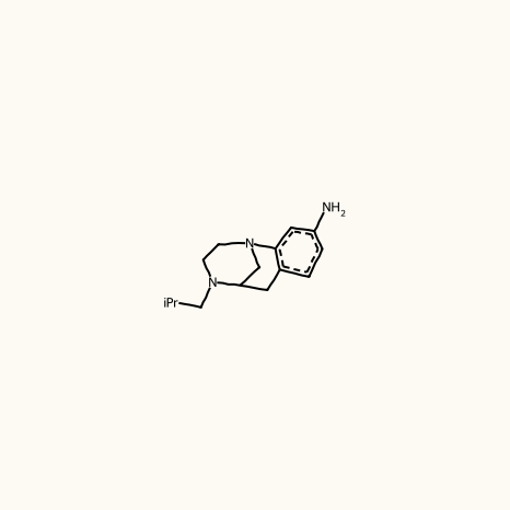 CC(C)CN1CCN2CC1Cc1ccc(N)cc12